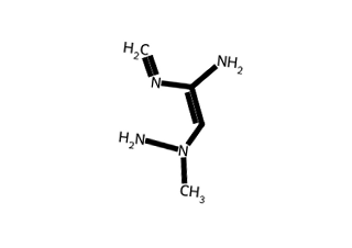 C=N/C(N)=C\N(C)N